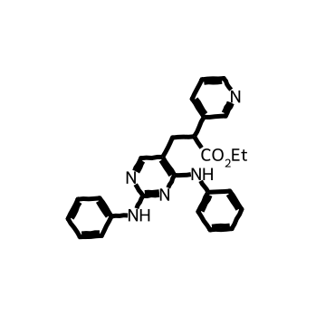 CCOC(=O)C(Cc1cnc(Nc2ccccc2)nc1Nc1ccccc1)c1cccnc1